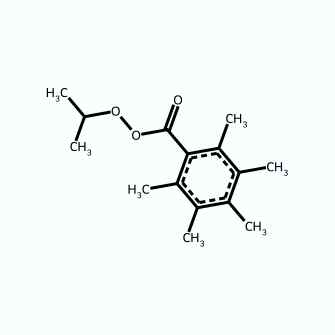 C[C](C)OOC(=O)c1c(C)c(C)c(C)c(C)c1C